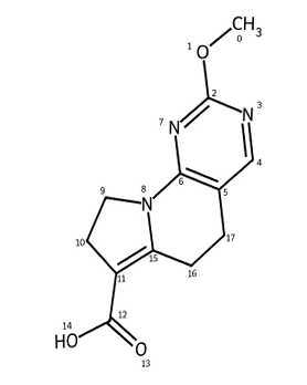 COc1ncc2c(n1)N1CCC(C(=O)O)=C1CC2